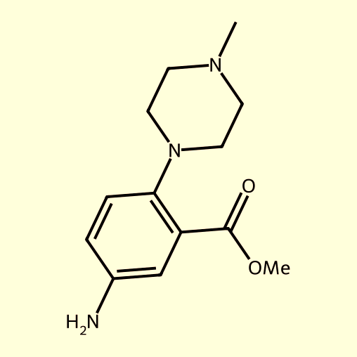 COC(=O)c1cc(N)ccc1N1CCN(C)CC1